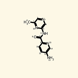 Cc1cncc(NC(=O)c2ccc(N)cn2)n1